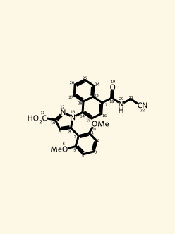 COc1cccc(OC)c1-c1cc(C(=O)O)nn1-c1ccc(C(=O)NCC#N)c2ccccc12